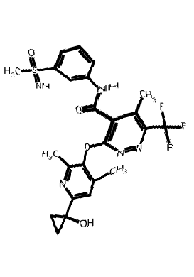 Cc1cc(C2(O)CC2)nc(C)c1Oc1nnc(C(F)(F)F)c(C)c1C(=O)Nc1cccc(S(C)(=N)=O)c1